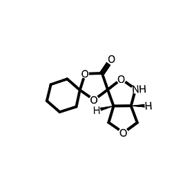 O=C1OC2(CCCCC2)OC12ON[C@@H]1COC[C@@H]12